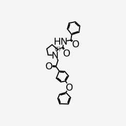 O=C(CN1CCC[C@H]1C(=O)NC(=O)c1ccccc1)c1ccc(Oc2ccccc2)cc1